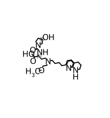 COCCN(CCCCc1ccc2c(n1)NCCC2)CC[C@H](NC(=O)N1CC[C@H](O)C1)C(=O)O